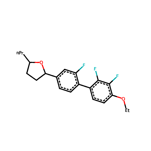 CCCC1CCC(c2ccc(-c3ccc(OCC)c(F)c3F)c(F)c2)O1